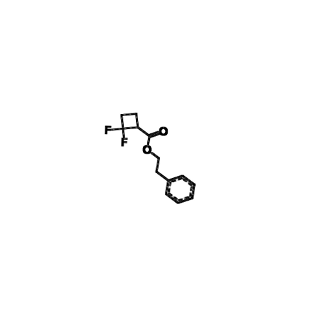 O=C(OCCc1ccccc1)C1CCC1(F)F